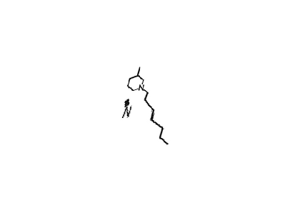 C#N.CCCCCCCN1CCCC(C)C1